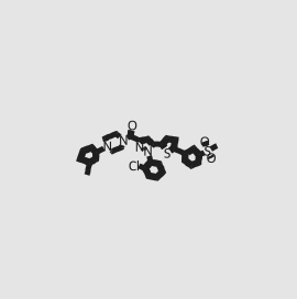 Cc1cccc(N2CCN(C(=O)c3cc(-c4ccc(-c5cccc(S(C)(=O)=O)c5)s4)n(-c4ccccc4Cl)n3)CC2)c1